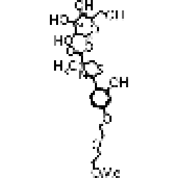 COCCOCCOc1ccc(C2=N[C@@](C)(C(=O)O[C@H]3OC(CO)[C@H](O)[C@H](O)C3O)CS2)c(O)c1